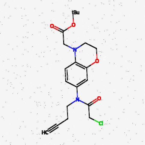 C#CCCN(C(=O)CCl)c1ccc2c(c1)OCCN2CC(=O)OC(C)(C)C